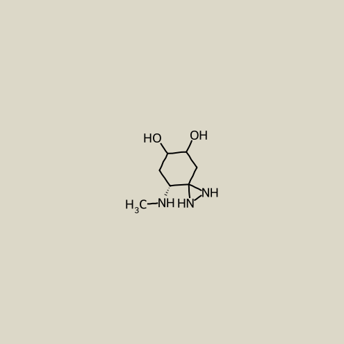 CN[C@@H]1CC(O)C(O)CC12NN2